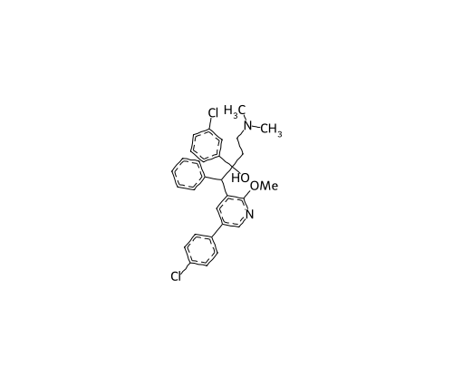 COc1ncc(-c2ccc(Cl)cc2)cc1C(c1ccccc1)C(O)(CCN(C)C)c1cccc(Cl)c1